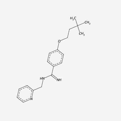 CC(C)(C)CCOc1ccc(C(=N)NCc2ccccn2)cc1